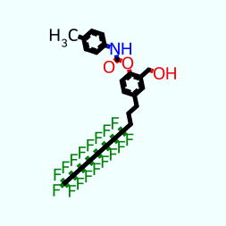 Cc1ccc(NC(=O)Oc2ccc(CCCC(F)(F)C(F)(F)C(F)(F)C(F)(F)C(F)(F)C(F)(F)C(F)(F)C(F)(F)F)cc2CO)cc1